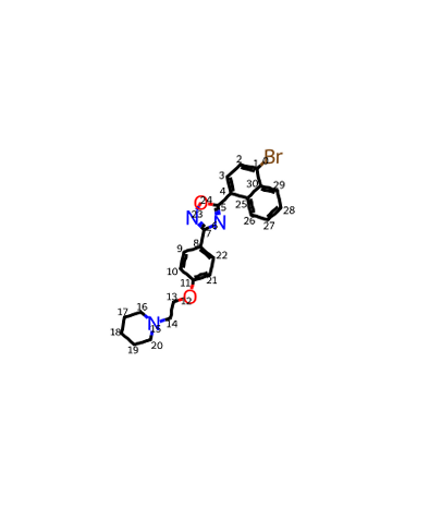 Brc1ccc(-c2nc(-c3ccc(OCCN4CCCCC4)cc3)no2)c2ccccc12